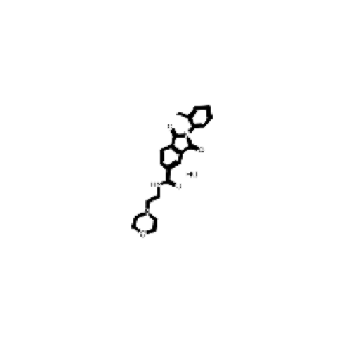 Cc1ccccc1N1C(=O)c2ccc(C(=O)NCCN3CCOCC3)cc2C1=O.Cl